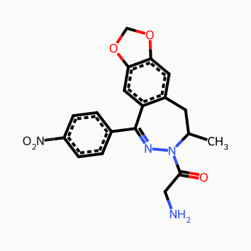 CC1Cc2cc3c(cc2C(c2ccc([N+](=O)[O-])cc2)=NN1C(=O)CN)OCO3